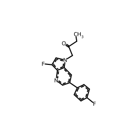 CCC(=O)Cn1cc(F)c2ncc(-c3ccc(F)cc3)cc21